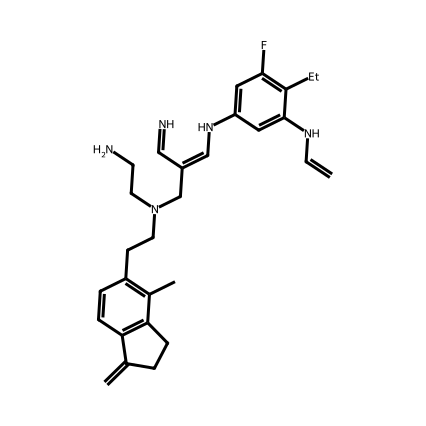 C=CNc1cc(N/C=C(\C=N)CN(CCN)CCc2ccc3c(c2C)CCC3=C)cc(F)c1CC